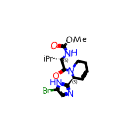 COC(=O)N[C@H](C(=O)N1CCC=C[C@H]1c1ncc(Br)[nH]1)C(C)C